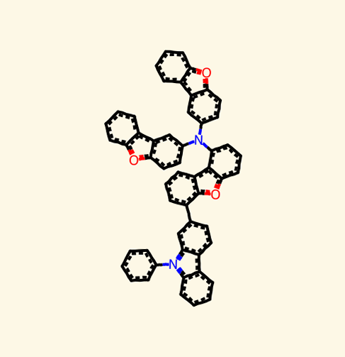 c1ccc(-n2c3ccccc3c3ccc(-c4cccc5c4oc4cccc(N(c6ccc7oc8ccccc8c7c6)c6ccc7oc8ccccc8c7c6)c45)cc32)cc1